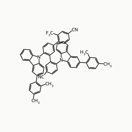 Cc1ccc(-c2ccc3c(c2)c2ccccc2n3-c2ccc(C#N)cc2-c2cc(-c3ccc(C#N)cc3C(F)(F)F)ccc2-n2c3ccccc3c3cc(-c4ccc(C)cc4C)ccc32)c(C)c1